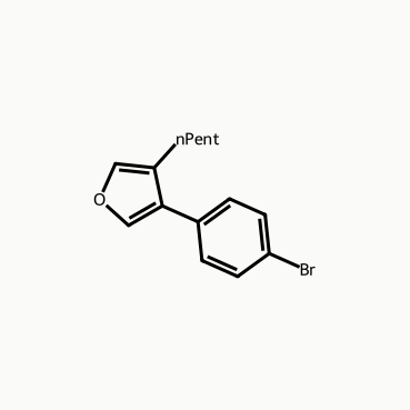 CCCCCc1cocc1-c1ccc(Br)cc1